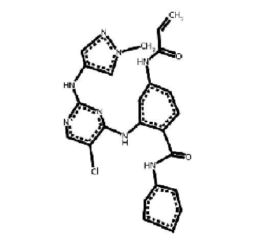 C=CC(=O)Nc1ccc(C(=O)Nc2ccccc2)c(Nc2nc(Nc3cnn(C)c3)ncc2Cl)c1